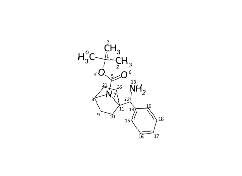 CC(C)(C)OC(=O)N1C2CCC1(C(N)c1ccccc1)CC2